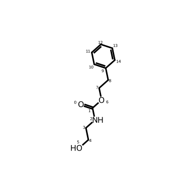 O=C(NCCO)OCCc1ccccc1